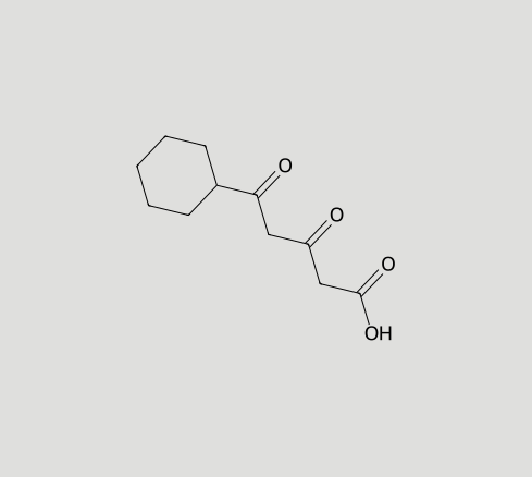 O=C(O)CC(=O)CC(=O)C1CCCCC1